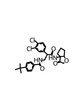 CC(C)(C)c1ccc(C(=O)NCC(C(=O)NC23CCCC2OCC3=O)c2ccc(Cl)c(Cl)c2)cc1